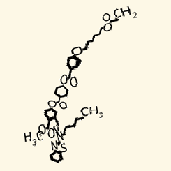 C=CC(=O)OCCCCCCOc1ccc(C(=O)O[C@H]2CC[C@H](C(=O)Oc3ccc(C(=O)OC)c(/C=N/N(CCCCCC)c4nc5ccccc5s4)c3)CC2)cc1